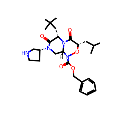 CC(C)C[C@@H]1ON(C(=O)OCc2ccccc2)[C@@H]2CN([C@@H]3CCNC3)C(=O)[C@H](CC(C)(C)C)N2C1=O